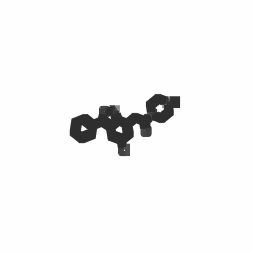 O=C(Cc1cc(Cl)cc2c(-c3ccccc3)onc12)N1CCNCC1